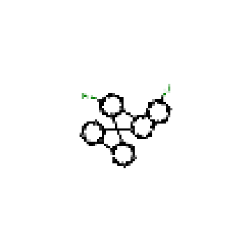 Clc1ccc2ccc3c(c2c1)-c1ccc(Br)cc1C31c2ccccc2-c2ccccc21